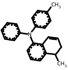 Cc1ccc(N(c2ccccc2)c2cccc3c2C=CCC3C)cc1